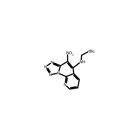 CC(C)(C)CNc1c([N+](=O)[O-])c2nnnn2c2ncccc12